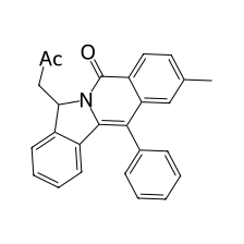 CC(=O)CC1c2ccccc2-c2c(-c3ccccc3)c3cc(C)ccc3c(=O)n21